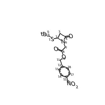 CC(C)(C)SC1CC(=O)N1CC(=O)OCc1ccc([N+](=O)[O-])cc1